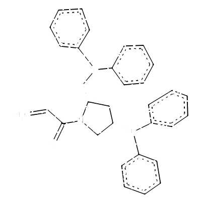 C=CC(=O)N1C[C@@H](P(c2ccccc2)c2ccccc2)C[C@H]1CP(c1ccccc1)c1ccccc1